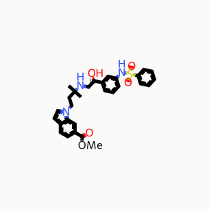 COC(=O)c1ccc2ccn(CCC(C)(C)NC[C@@H](O)c3cccc(NS(=O)(=O)c4ccccc4)c3)c2c1